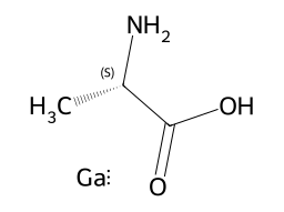 C[C@H](N)C(=O)O.[Ga]